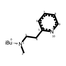 CC[C@@H](C)N(C)CCc1ccccn1